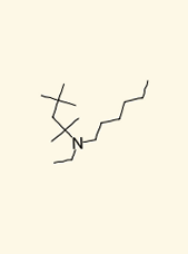 CCCCCCN(CC)C(C)(C)CC(C)(C)C